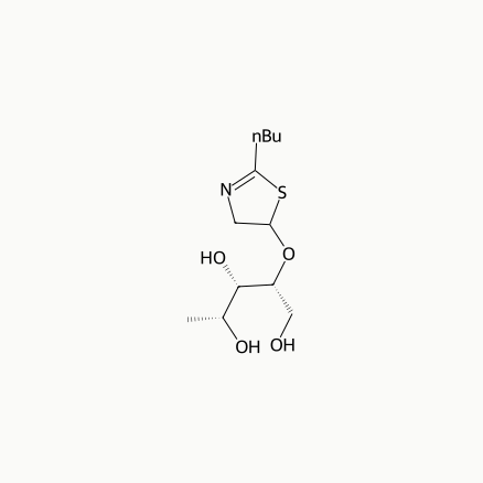 CCCCC1=NCC(O[C@H](CO)[C@@H](O)[C@@H](C)O)S1